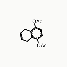 CC(=O)Oc1ccc(OC(C)=O)c2c1CC=CC2